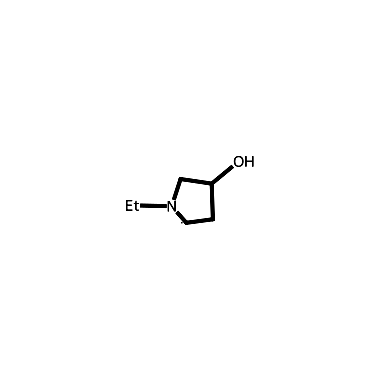 CCN1[CH]CC(O)C1